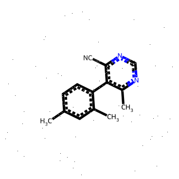 Cc1ccc(-c2c(C)ncnc2C#N)c(C)c1